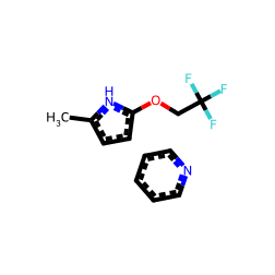 Cc1ccc(OCC(F)(F)F)[nH]1.c1ccncc1